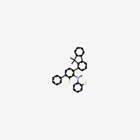 CN(c1ccccc1F)c1c(-c2cccc3c2C(C)(C)c2ccccc2-3)ccc(-c2ccccc2)c1F